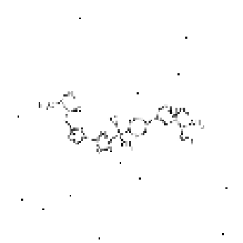 C=C/C(=C\C(C)=C(N)N)c1ccc([C@](C)(c2noc(-c3cnn(CC(=O)N(C)C)c3)n2)C2CC2)cc1